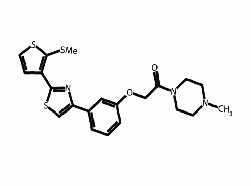 CSc1sccc1-c1nc(-c2cccc(OCC(=O)N3CCN(C)CC3)c2)cs1